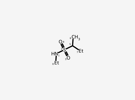 CCNS(=O)(=O)C(C)CC